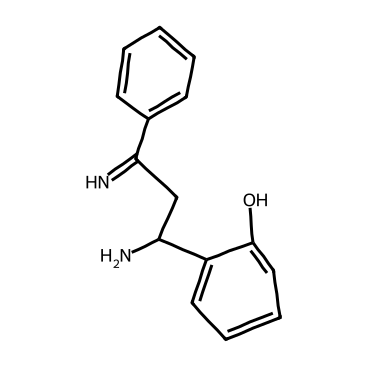 N=C(CC(N)c1ccccc1O)c1ccccc1